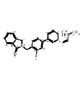 CN/C=C\[C@@H]1C=C(c2ccc(CN3Cc4ccccc4C3=O)c(F)c2)C=C[C@@H]1C